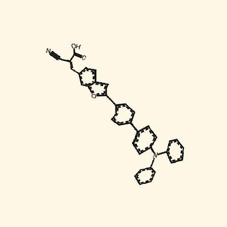 N#C/C(=C/c1ccc2cc(-c3ccc(-c4ccc(N(c5ccccc5)c5ccccc5)cc4)cc3)oc2c1)C(=O)O